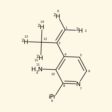 [2H]C([2H])=C(c1ccnc(C(C)C)c1N)C([2H])([2H])[2H]